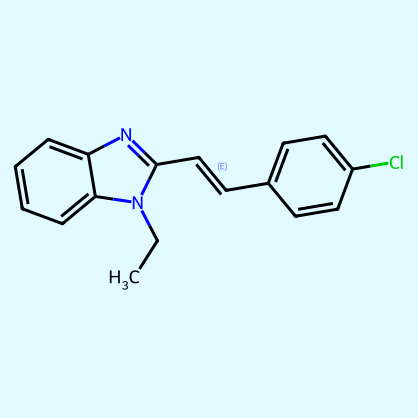 CCn1c(/C=C/c2ccc(Cl)cc2)nc2ccccc21